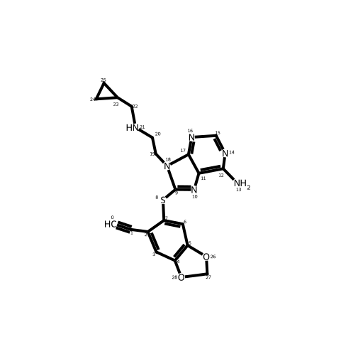 C#Cc1cc2c(cc1Sc1nc3c(N)ncnc3n1CCNCC1CC1)OCO2